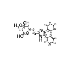 C[C@]1(O)C[C@@H](CSc2nc(-c3ccccc3)c(-c3ccccc3)[nH]2)O[C@H](O)C1